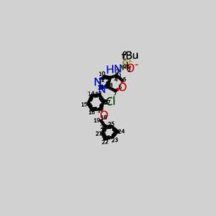 CC(C)(C)[S@+]([O-])N[C@@H]1COCc2c1cnn2-c1cccc(OCc2ccccc2)c1Cl